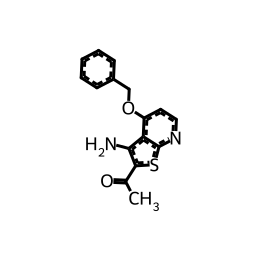 CC(=O)c1sc2nccc(OCc3ccccc3)c2c1N